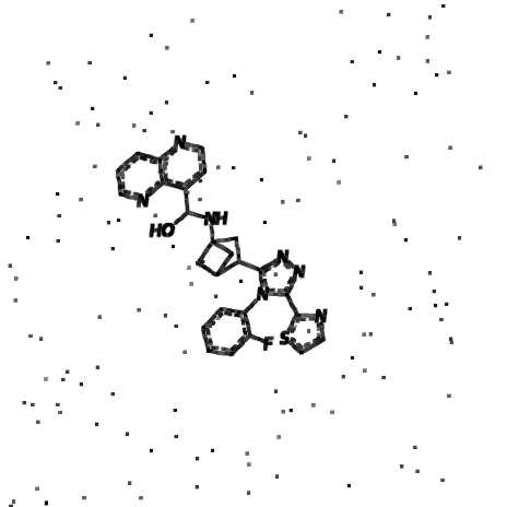 OC(NC12CC(C1)C(c1nnc(-c3nccs3)n1-c1ccccc1F)C2)c1ccnc2cccnc12